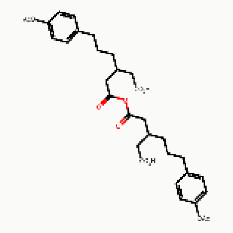 CC(=O)Oc1ccc(CCCC(CC(=O)O)CC(=O)OC(=O)CC(CCCc2ccc(OC(C)=O)cc2)CC(=O)O)cc1